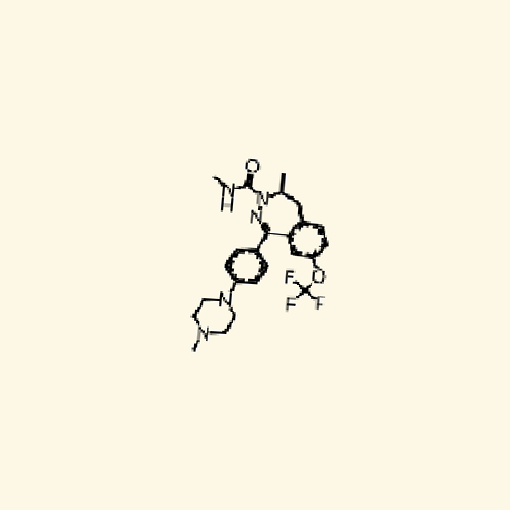 CNC(=O)N1N=C(c2ccc(N3CCN(C)CC3)cc2)c2cc(OC(F)(F)F)ccc2CC1C